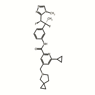 Cn1cnnc1[C@H](F)[C@@](C)(F)c1cccc(NC(=O)c2cc(CN3CCC4(CC4)C3)cc(C3CC3)n2)c1